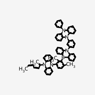 C=C(/C=C\C=C/C)N1c2ccccc2N(c2ccc(C)c(B3c4ccccc4N(c4cccc(N5c6ccccc6N(c6ccccc6)c6ccccc65)c4)c4ccccc43)c2C)c2ccccc21